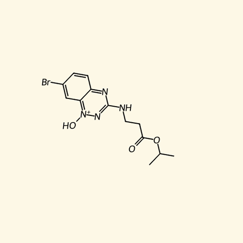 CC(C)OC(=O)CCNc1nc2ccc(Br)cc2[n+](O)n1